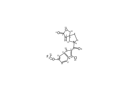 O=C1NC2(CCN(C(=O)c3sc4cc(OC(F)(F)F)ccc4c3Cl)C2)CO1